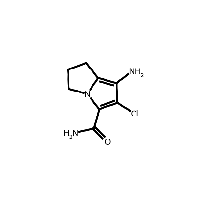 NC(=O)c1c(Cl)c(N)c2n1CCC2